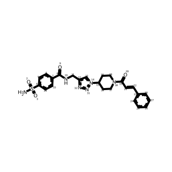 NS(=O)(=O)c1ccc(C(=O)NCc2cn(C3CCN(C(=O)C=Cc4ccccc4)CC3)nn2)cc1